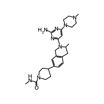 CNC(=O)N1CCC(c2ccc3c(c2)CN(c2cc(N4CCN(C)CC4)nc(N)n2)C(C)C3)CC1